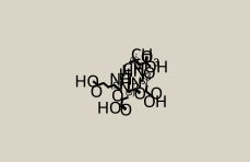 CC[C@H](C)[C@H](NC(=O)[C@H](CCC(=O)O)NC(=O)[C@H](CCC(=O)O)NC(=O)[C@@H](N)CCC(=O)O)C(=O)O